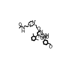 CC(=O)NCCN1CCN(C)[C@@H](CCOc2cc(-c3c(C)cccc3C)nc(NS(=O)(=O)c3cccc(C=O)c3)n2)C1